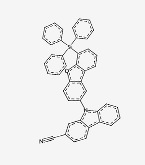 N#Cc1ccc2c3ccccc3n(-c3ccc4oc5c([Si](c6ccccc6)(c6ccccc6)c6ccccc6)cccc5c4c3)c2c1